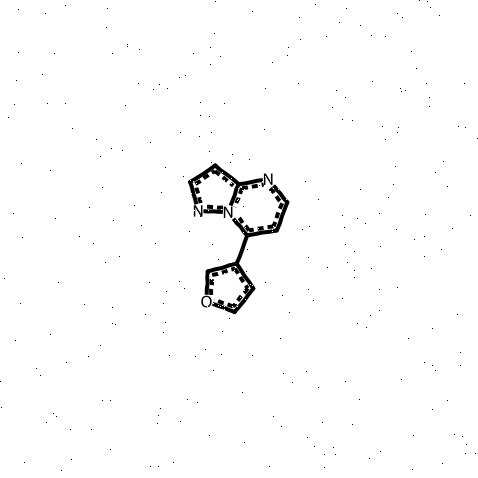 c1cc(-c2ccoc2)n2nccc2n1